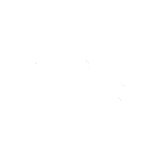 CSc1nnc(-c2ccccc2Nc2cccc(C(F)(F)F)c2)o1